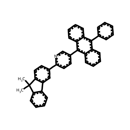 CC1(C)c2ccccc2-c2cc(-c3ccc(-c4c5ccccc5c(-c5ccccc5)c5ccccc45)cn3)ccc21